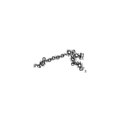 CCN(CC)c1ccc(NC(=O)c2cccc(CCCOCCOCCOCCOCCC(=O)N3CCN(SC(C)C)CC3)c2)c(-c2cc(C(=O)NCc3cccc(C(F)(F)F)c3)ccn2)c1